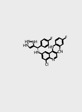 N#Cc1cnc2c(Cl)cc(N[C@H](C3=CNNN3)c3ccc(F)cc3)cc2c1Nc1ccc(F)cc1F